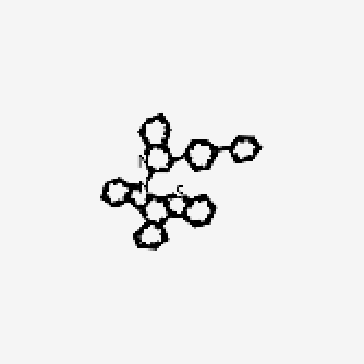 c1ccc(-c2ccc(-c3cc(-n4c5ccccc5c5c6ccccc6c6c7ccccc7sc6c54)nc4ccccc34)cc2)cc1